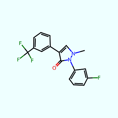 Cn1cc(-c2cccc(C(F)(F)F)c2)c(=O)n1-c1cccc(F)c1